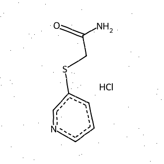 Cl.NC(=O)CSc1cccnc1